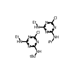 CCNc1nc(Cl)nc(NC(C)(C)C)n1.CCNc1nc(Cl)nc(NC(C)C)n1